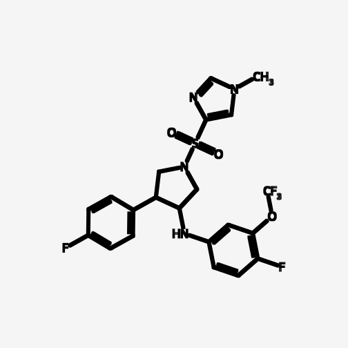 Cn1cnc(S(=O)(=O)N2CC(Nc3ccc(F)c(OC(F)(F)F)c3)C(c3ccc(F)cc3)C2)c1